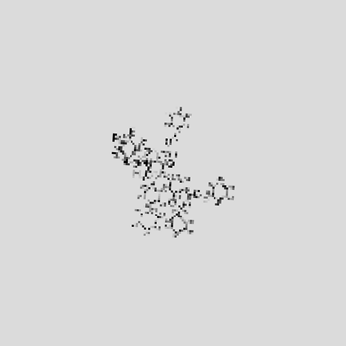 CN([C@@H](CC(=O)OCc1ccccc1)C(=O)N(Cc1ccc(C2CCCCC2)cc1)c1ccc(C(=O)OCc2ccccc2)c(OCc2ccccc2)c1)S(=O)(=O)c1c(F)c(F)c(F)c(F)c1F